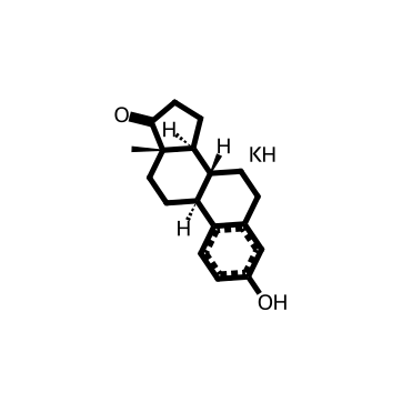 C[C@]12CC[C@@H]3c4ccc(O)cc4CC[C@H]3[C@@H]1CCC2=O.[KH]